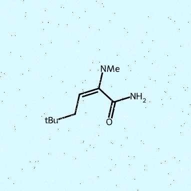 CN/C(=C/CC(C)(C)C)C(N)=O